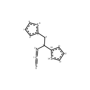 S=C=NC(Cc1cccs1)c1cccs1